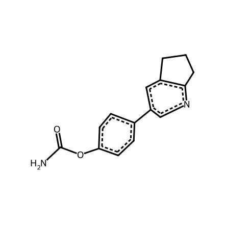 NC(=O)Oc1ccc(-c2cnc3c(c2)CCC3)cc1